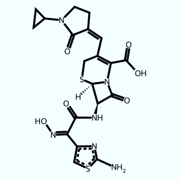 Nc1nc(/C(=N/O)C(=O)N[C@@H]2C(=O)N3C(C(=O)O)=C(/C=C4/CCN(C5CC5)C4=O)CS[C@H]23)cs1